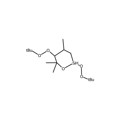 CC1C[SiH](OOC(C)(C)C)OC(C)(C)C1OOC(C)(C)C